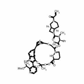 C=CC(=O)N1CC[C@@H]2[C@H](C1)CN2C(=O)N(C)[C@H](C(=O)N[C@H]1Cc2nc(cs2)-c2ccc3c(c2)c(c(-c2cccnc2[C@H](C)OC)n3CC)CC(C)(C)COC(=O)[C@@H]2CCCN(N2)C1=O)C(C)C